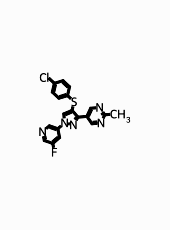 Cc1ncc(-c2nn(-c3cncc(F)c3)cc2Sc2ccc(Cl)cc2)cn1